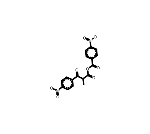 CC(C(=O)OC(=O)c1ccc([N+](=O)[O-])cc1)C(=O)c1ccc([N+](=O)[O-])cc1